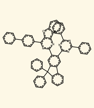 c1ccc(-c2ccc(-c3nc(-c4cc5c(cc4-c4nc(-c6ccccc6)nc(-c6ccccc6)n4)-c4ccccc4C5(c4ccccc4)c4ccccc4)nc4c3oc3ccccc34)cc2)cc1